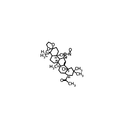 CC(=O)[C@@H]1CC(C)(C)CC2C3=C[C@H](ON=O)C4[C@@]5(C)CCC6(OCCO6)C(C)(C)C5CC[C@@]4(C)[C@]3(C)CCC21